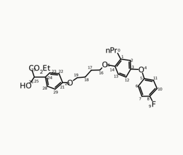 CCCc1cc(Oc2ccc(F)cc2)ccc1OCCCCOc1ccc(C(O)C(=O)OCC)cc1